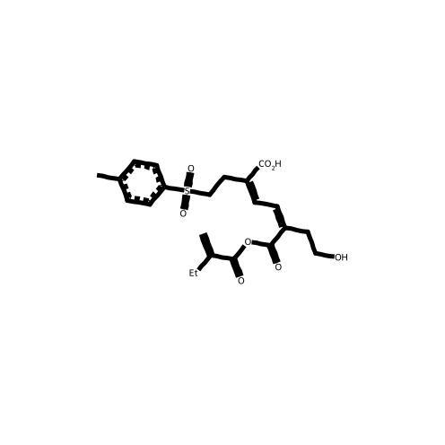 C=C(CC)C(=O)OC(=O)C(=CC=C(CCS(=O)(=O)c1ccc(C)cc1)C(=O)O)CCO